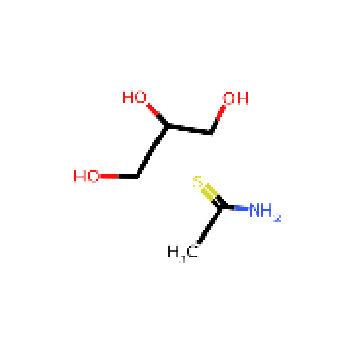 CC(N)=S.OCC(O)CO